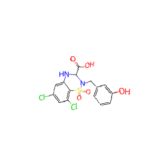 O=C(O)C1Nc2cc(Cl)cc(Cl)c2S(=O)(=O)N1Cc1cccc(O)c1